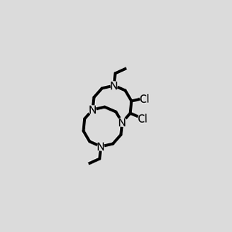 CCN1CCCN2CCN(CC)CC(Cl)C(Cl)N(CC1)CC2